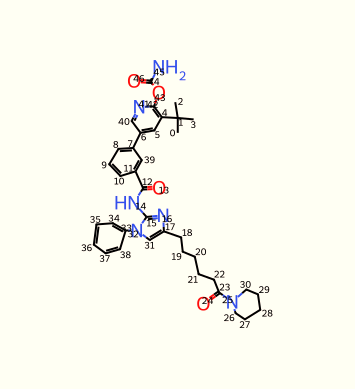 CC(C)(C)c1cc(-c2cccc(C(=O)Nc3nc(CCCCCC(=O)N4CCCCC4)cn3-c3ccccc3)c2)cnc1OC(N)=O